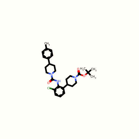 Cc1ccc(C2CCN(C(=O)Nc3c(Cl)cccc3C3CCN(C(=O)OC(C)(C)C)CC3)CC2)cc1